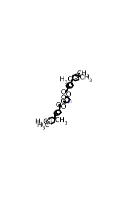 CC1(C2=CC3CC2CC3C(=O)OC(=O)/C=C\C(=O)OC(=O)C2CC3CC2C=C3C2(C)CC[Si](C)(C)CC2)CC[Si](C)(C)CC1